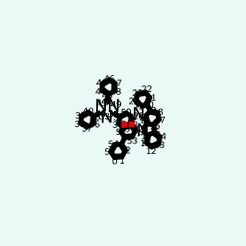 c1ccc(-c2cccc(-n3c4ccccc4c4ccc5c6ccccc6n(-c6cccc(-c7nc(-c8ccccc8)nc(-c8ccccc8)n7)c6)c5c43)c2)cc1